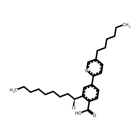 CCCCCCCC[C@H](Cl)c1cc(-c2ccc(CCCCCC)cn2)ccc1C(=O)O